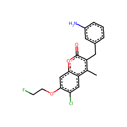 Cc1c(Cc2cccc(N)c2)c(=O)oc2cc(OCCF)c(Cl)cc12